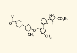 CCOC(=O)c1cnn(-c2cccc(-c3sc(C)cc3COc3ccc(C4CCN(C(=O)C5CC5)CC4)cc3C)n2)c1F